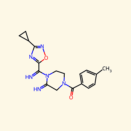 Cc1ccc(C(=O)N2CCN(C(=N)c3nc(C4CC4)no3)C(=N)C2)cc1